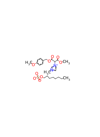 CCCCCCCCOS(=O)(=O)[O-].COC(=O)C(C(=O)OCc1ccc(OC)cc1)[n+]1ccn(C)c1